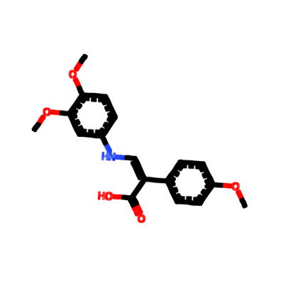 COc1ccc(C(=CNc2ccc(OC)c(OC)c2)C(=O)O)cc1